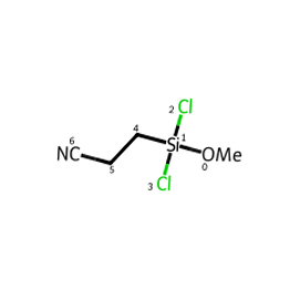 CO[Si](Cl)(Cl)CCC#N